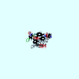 COc1ccc([C@H](Cc2c(Cl)c[n+]([O-])cc2Cl)OC(=O)c2cc(CN(C(=O)O[C@H]3CN4CCC3CC4)c3ccccc3F)ccc2F)cc1OC.O=CO